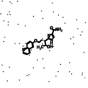 C[C@H](O)[C@H](CCOc1ccc2ncccc2c1)c1nc(C(N)=O)c[nH]1